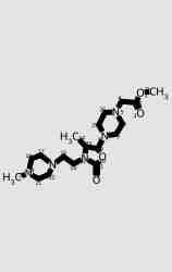 COC(=O)CN1CCN(C2OC(=O)N(CCN3CCN(C)CC3)C2C)CC1